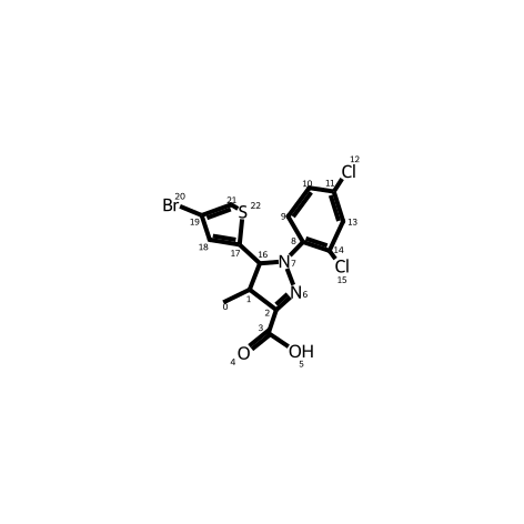 CC1C(C(=O)O)=NN(c2ccc(Cl)cc2Cl)C1c1cc(Br)cs1